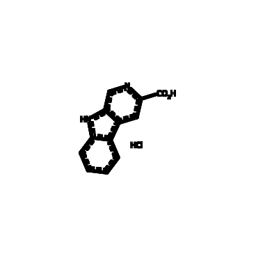 Cl.O=C(O)c1cc2c(cn1)[nH]c1ccccc12